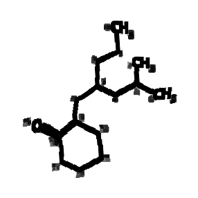 CCCC(CC(C)C)CC1CCCCC1=O